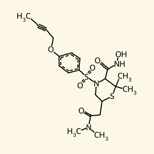 CC#CCOc1ccc(S(=O)(=O)N2CC(CC(=O)N(C)C)SC(C)(C)C2C(=O)NO)cc1